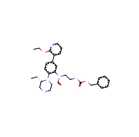 CCOc1ncccc1-c1ccc(N2CCNC[C@H]2CC)c(N(C=O)CCNC(=O)OCc2ccccc2)c1